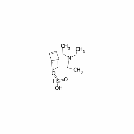 CCN(CC)CC.O=[SH](=O)O.c1cc2ccc1-2